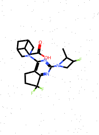 CC1C(F)CN1c1nc(N2CC3CC(C2)C3CC(=O)O)c2c(n1)C(F)(F)CC2